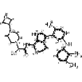 CCC(C(=O)Nc1nccc2c(-c3nc(Nc4cccc(C)c4P)ncc3C)c[nH]c12)N1CCN(C2COC2)CC1